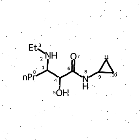 CCCC(NCC)C(O)C(=O)NC1CC1